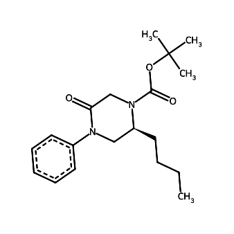 CCCC[C@H]1CN(c2ccccc2)C(=O)CN1C(=O)OC(C)(C)C